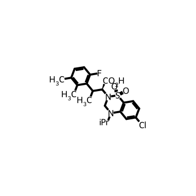 Cc1ccc(F)c(C(C)[C@@H](C(=O)O)N2CN(C(C)C)c3cc(Cl)ccc3S2(=O)=O)c1C